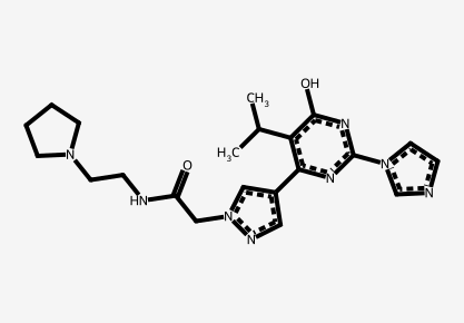 CC(C)c1c(O)nc(-n2ccnc2)nc1-c1cnn(CC(=O)NCCN2CCCC2)c1